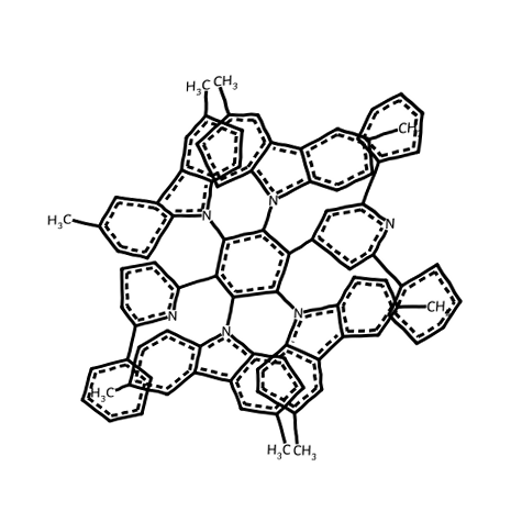 Cc1ccc2c(c1)c1cc(C)ccc1n2-c1c(-c2cc(-c3ccccc3)nc(-c3ccccc3)c2)c(-n2c3ccc(C)cc3c3cc(C)ccc32)c(-n2c3ccc(C)cc3c3cc(C)ccc32)c(-c2cccc(-c3ccccc3)n2)c1-n1c2ccc(C)cc2c2cc(C)ccc21